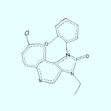 CCn1c(=O)n(-c2ccccc2Cl)c2c3cc(Cl)ccc3ncc21